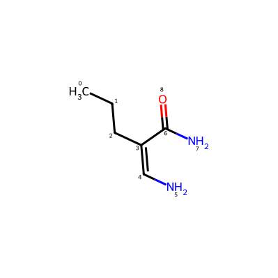 CCCC(=CN)C(N)=O